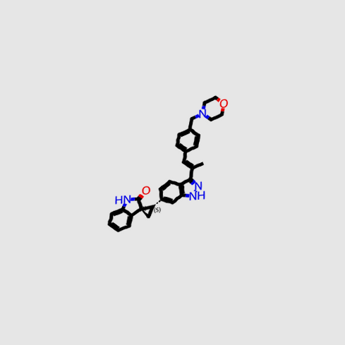 CC(=Cc1ccc(CN2CCOCC2)cc1)c1n[nH]c2cc([C@@H]3C[C@@]34C(=O)Nc3ccccc34)ccc12